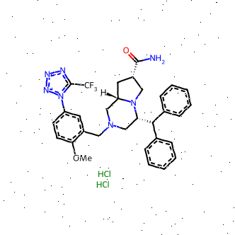 COc1ccc(-n2nnnc2C(F)(F)F)cc1CN1C[C@@H]2C[C@H](C(N)=O)CN2[C@H](C(c2ccccc2)c2ccccc2)C1.Cl.Cl